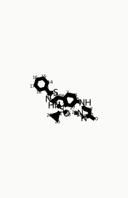 Cc1cc(Nc2ccc(-c3cnc(C4CCCCC4)s3)c(S(=N)(=O)C3CC3)c2)n(C)n1